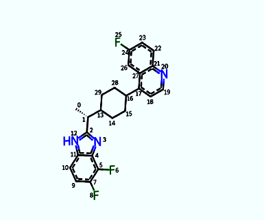 C[C@@H](c1nc2c(F)c(F)ccc2[nH]1)C1CCC(c2ccnc3ccc(F)cc23)CC1